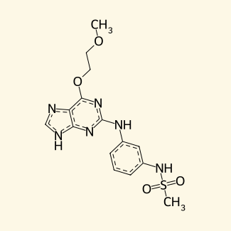 COCCOc1nc(Nc2cccc(NS(C)(=O)=O)c2)nc2[nH]cnc12